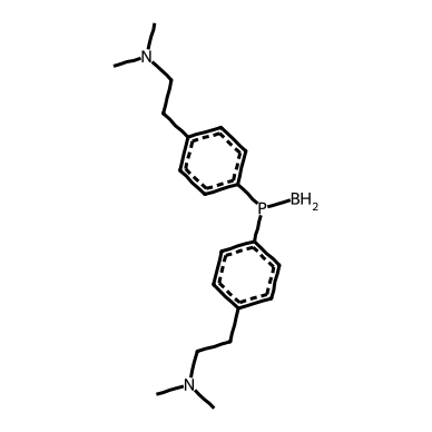 BP(c1ccc(CCN(C)C)cc1)c1ccc(CCN(C)C)cc1